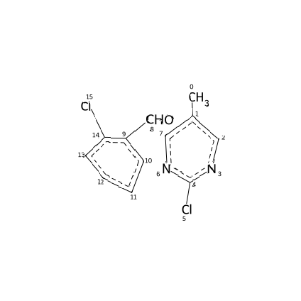 Cc1cnc(Cl)nc1.O=Cc1ccccc1Cl